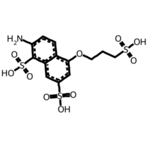 Nc1ccc2c(OCCCS(=O)(=O)O)cc(S(=O)(=O)O)cc2c1S(=O)(=O)O